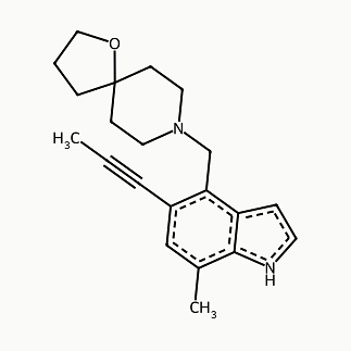 CC#Cc1cc(C)c2[nH]ccc2c1CN1CCC2(CCCO2)CC1